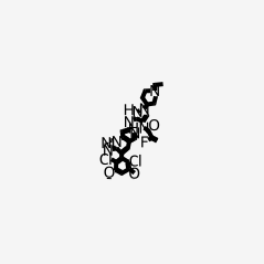 C=C(F)C(=O)Nc1cn(C2CCN(CC)CC2)nc1Nc1cc2c(cn1)cc(-c1c(Cl)c(OC)cc(OC)c1Cl)c1nncn12